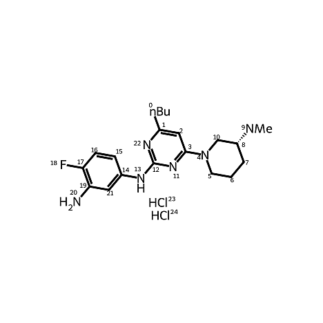 CCCCc1cc(N2CCC[C@@H](NC)C2)nc(Nc2ccc(F)c(N)c2)n1.Cl.Cl